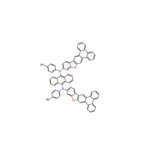 CC(C)c1ccc(N(c2ccc3c(c2)oc2cc4c5ccccc5c5ccccc5c4cc23)c2c3ccccc3c(N(c3ccc(C(C)C)cc3)c3ccc4c(c3)oc3cc5c6ccccc6c6ccccc6c5cc34)c3ccccc23)cc1